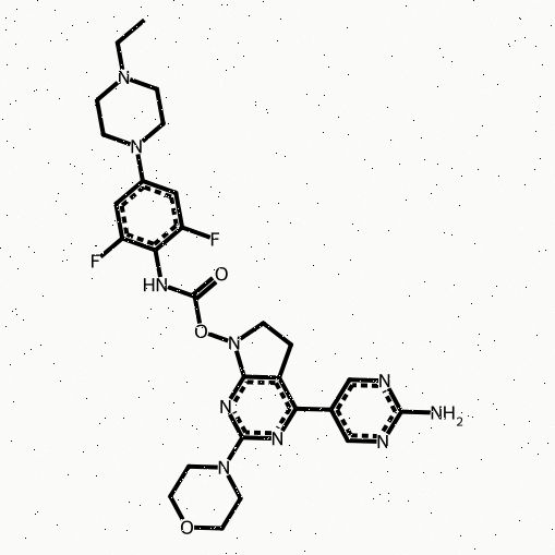 CCN1CCN(c2cc(F)c(NC(=O)ON3CCc4c(-c5cnc(N)nc5)nc(N5CCOCC5)nc43)c(F)c2)CC1